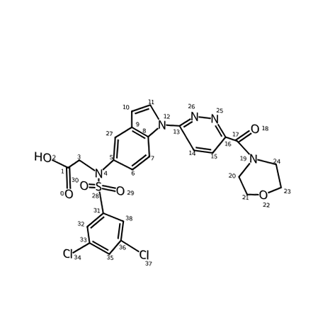 O=C(O)CN(c1ccc2c(ccn2-c2ccc(C(=O)N3CCOCC3)nn2)c1)S(=O)(=O)c1cc(Cl)cc(Cl)c1